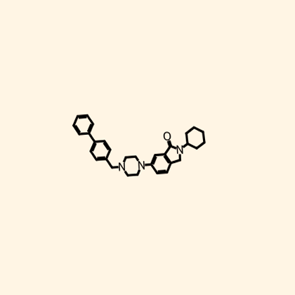 O=C1c2cc(N3CCN(Cc4ccc(-c5ccccc5)cc4)CC3)ccc2CN1C1CCCCC1